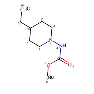 CC(C)(C)OC(=O)NN1CCC(CC=O)CC1